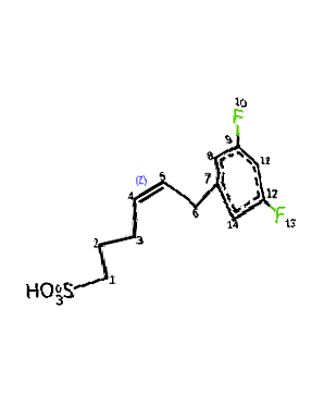 O=S(=O)(O)CCC/C=C\Cc1cc(F)cc(F)c1